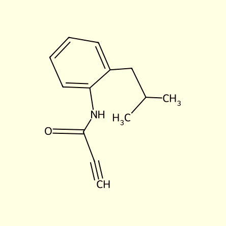 C#CC(=O)Nc1ccccc1CC(C)C